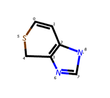 C1=CC2=C(CS1)N=C[N]2